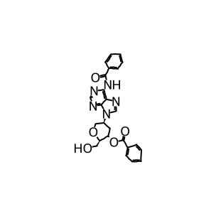 O=C(Nc1ncnc2c1ncn2[C@@H]1CO[C@H](CO)[C@@H](OC(=O)c2ccccc2)C1)c1ccccc1